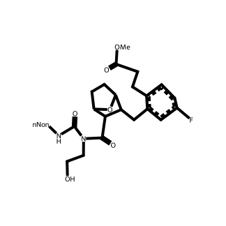 CCCCCCCCCNC(=O)N(CCO)C(=O)C1C2CCC(O2)C1Cc1cc(F)ccc1CCC(=O)OC